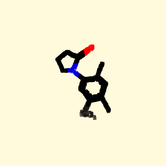 Cc1cc(C)c([N+](=O)[O-])cc1N1CCCC1=O